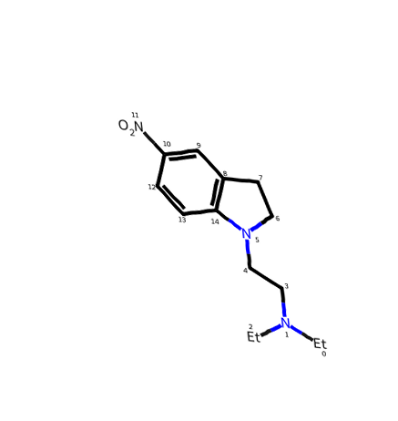 CCN(CC)CCN1CCc2cc([N+](=O)[O-])ccc21